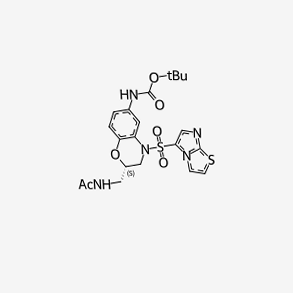 CC(=O)NC[C@H]1CN(S(=O)(=O)c2cnc3sccn23)c2cc(NC(=O)OC(C)(C)C)ccc2O1